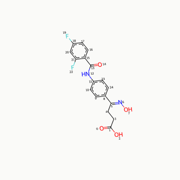 O=C(O)CCC(=NO)c1ccc(NC(=O)c2ccc(F)cc2F)cc1